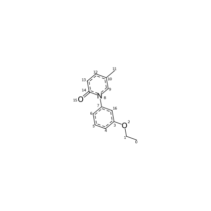 CCOc1cccc(-n2cc(C)ccc2=O)c1